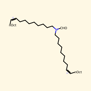 CCCCCCCC/C=C\CCCCCCCCN(C=O)CCCCCCCC/C=C\CCCCCCCC